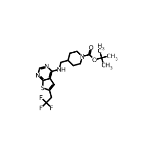 CC(C)(C)OC(=O)N1CCC(CNc2ncnc3sc(CC(F)(F)F)cc23)CC1